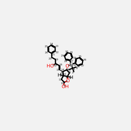 CC(C)(C)[Si](O[C@@H]1C[C@@H]2OC(O)C[C@@H]2[C@H]1C=C[C@@H](O)CCc1ccccc1)(c1ccccc1)c1ccccc1